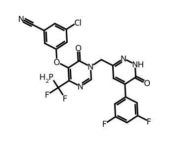 N#Cc1cc(Cl)cc(Oc2c(C(F)(F)P)ncn(Cc3cc(-c4cc(F)cc(F)c4)c(=O)[nH]n3)c2=O)c1